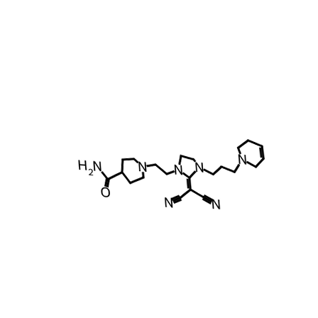 N#CC(C#N)=C1N(CCCN2CC=CCC2)CCN1CCN1CCC(C(N)=O)CC1